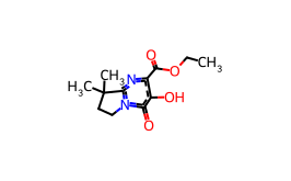 CCOC(=O)c1nc2n(c(=O)c1O)CCC2(C)C